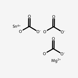 O=C([O-])[O-].O=C([O-])[O-].O=C([O-])[O-].[Mg+2].[Sn+4]